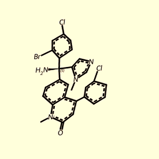 Cn1cncc1[C@](N)(c1ccc2c(c1)c(-c1cccc(Cl)c1)cc(=O)n2C)c1ccc(Cl)cc1Br